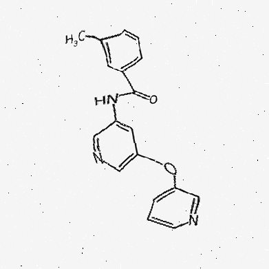 Cc1cccc(C(=O)Nc2cncc(Oc3cccnc3)c2)c1